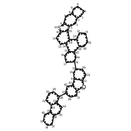 c1ccc2cc3c(cc2c1)sc1ccc2c4ccc(-c5ccc6oc7ccc(-c8cccc9c8ccc8ccccc89)cc7c6c5)cc4c4ccccc4c2c13